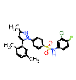 Cc1ccc(C)c(-c2cc(C)nn2-c2ccc(S(=O)(=O)Nc3ccc(F)c(Cl)c3)cc2)c1